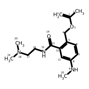 C=C(C)OCc1ccc(NC)cc1C(=O)NCCN(C)C